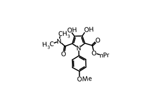 CCCOC(=O)c1c(O)c(O)c(C(=O)N(C)C)n1-c1ccc(OC)cc1